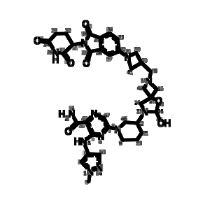 Cn1cc(Nc2nc(N3CCCC(N4CC5(CN(CC6CN(c7ccc8c(c7)C(=O)N(C7CCC(=O)NC7=O)C8=O)C6)C5)OC4O)C3)cnc2C(N)=O)cn1